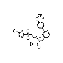 O=C(C1CC1)N(Cc1ccnc(-c2ccc(OC(F)(F)F)cc2)c1)NCCS(=O)(=O)c1ccc(Cl)s1